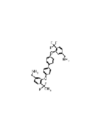 CC(F)(F)c1ccc(CN)cc1Oc1ccc(-c2ccc(Oc3cc(CN)ccc3C(F)(F)F)cc2)cc1